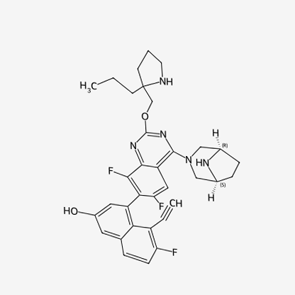 C#Cc1c(F)ccc2cc(O)cc(-c3c(F)cc4c(N5C[C@H]6CC[C@@H](C5)N6)nc(OCC5(CCC)CCCN5)nc4c3F)c12